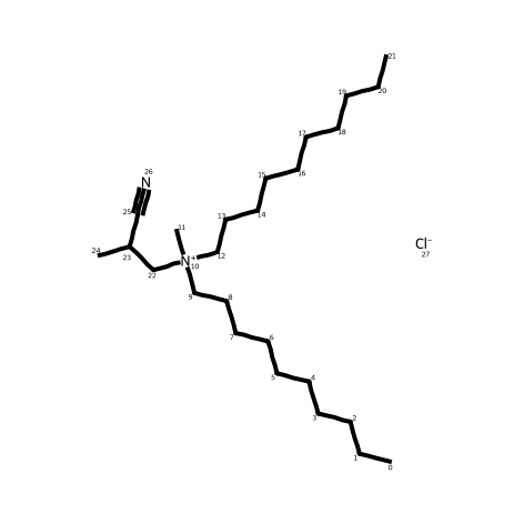 CCCCCCCCCC[N+](C)(CCCCCCCCCC)CC(C)C#N.[Cl-]